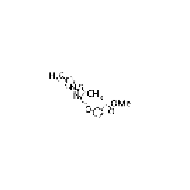 COC(=O)Cc1cccc(OCCc2nc(N3CCN(C)CC3)sc2C)c1